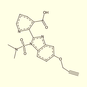 C#CCOc1ccc2c(c1)nc(-c1ncccc1C(=O)O)n2S(=O)(=O)N(C)C